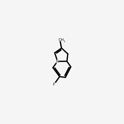 CC1=CN2C=C(F)C=CC2C1